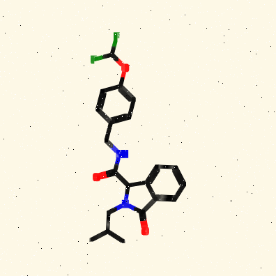 CC(C)CN1C(=O)c2ccccc2C1C(=O)NCc1ccc(OC(F)F)cc1